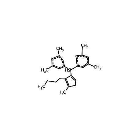 CCCCC1=C(C)CC=C1[SiH](c1cc(C)cc(C)c1)c1cc(C)cc(C)c1